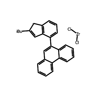 CCC(C)C1=Cc2c(cccc2-c2cc3ccccc3c3ccccc23)[CH]1.[Cl][Zr][Cl]